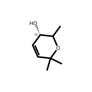 CC1OC(C)(C)C=C[C@@H]1O